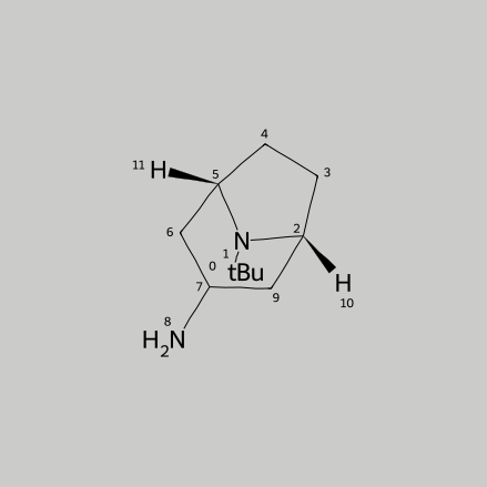 CC(C)(C)N1[C@@H]2CC[C@H]1CC(N)C2